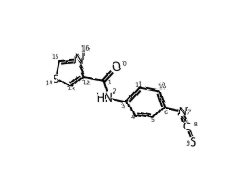 O=C(Nc1ccc(N=C=S)cc1)c1cscn1